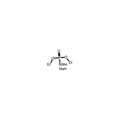 CCOP(=O)(NC)OCC.[NaH]